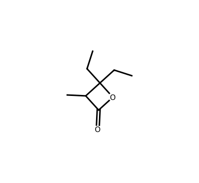 CCC1(CC)OC(=O)C1C